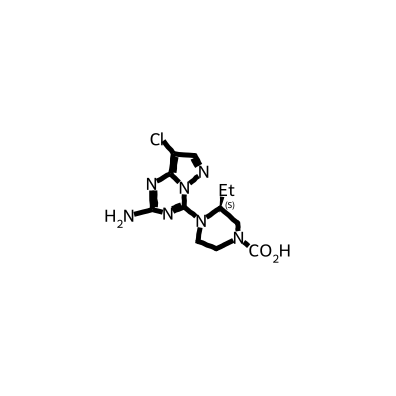 CC[C@H]1CN(C(=O)O)CCN1c1nc(N)nc2c(Cl)cnn12